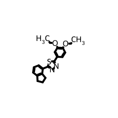 CCOc1ccc(-c2nnc(-c3cccc4c3CCC4)s2)cc1OCC